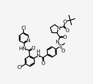 CC(C)(C)OC(=O)N1CCCC1C(=O)N=S(C)(=O)c1ccc(C(=O)Nc2ccc(Cl)cc2C(=O)Nc2ccc(Cl)cn2)cc1